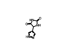 O=C1NC(=O)C(c2cn[nH]c2)N1